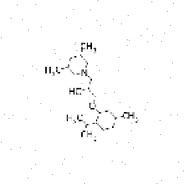 CC1CCC(C(C)C)C(OCC(O)CN2CC(C)CC(C)C2)C1